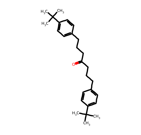 CC(C)(C)c1ccc(CCCC(=O)CCCc2ccc(C(C)(C)C)cc2)cc1